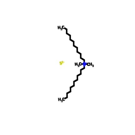 CCCCCCCCCCCC[N+](C)(C)CCCCCCCCCCCC.[S-2]